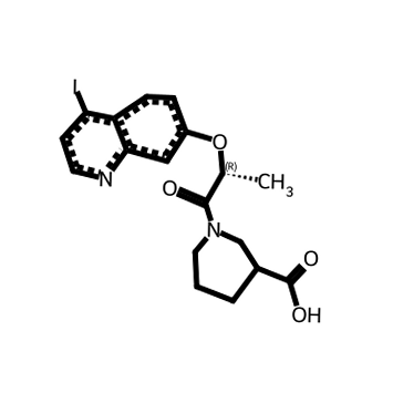 C[C@@H](Oc1ccc2c(I)ccnc2c1)C(=O)N1CCCC(C(=O)O)C1